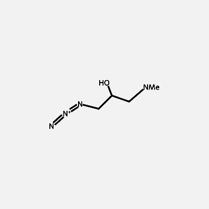 CNCC(O)CN=[N+]=[N-]